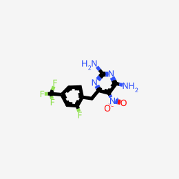 Nc1nc(N)c([N+](=O)[O-])c(Cc2ccc(C(F)(F)F)cc2F)n1